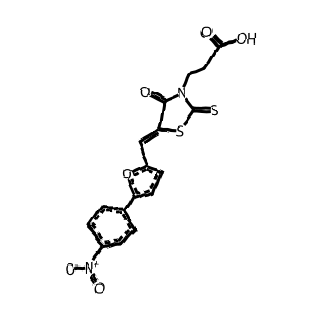 O=C(O)CCN1C(=O)C(=Cc2ccc(-c3ccc([N+](=O)[O-])cc3)o2)SC1=S